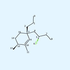 CCC[C@@]1(C[C@H](F)CC)C=C(C)[C@@H](C)CC1